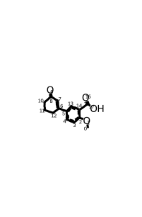 COc1ccc(C2=CC(=O)CCC2)cc1C(=O)O